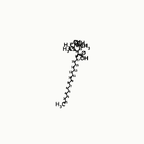 CCCCCCCCCCCCCCCCCCCC(C(=O)O)C1CC(C)(C)N(C)C(C)(C)C1